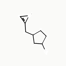 CCC1CCC(CC2=CS2)C1